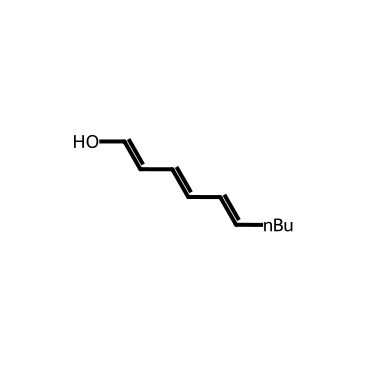 CCCCC=CC=CC=CO